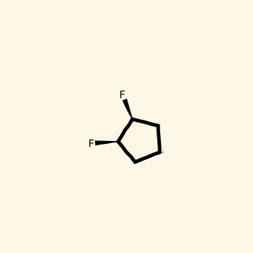 F[C@@H]1C[CH]C[C@@H]1F